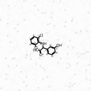 O=C(O)C(Nc1c(Cl)cccc1Cl)c1cccc(O)c1